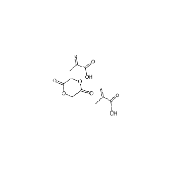 C=C(C)C(=O)O.C=C(C)C(=O)O.O=C1COC(=O)CO1